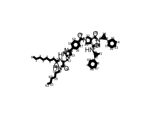 CCCCCCCC(=O)N[C@@H](Cn1cc(-c2ccc(C(=O)N3C[C@@H](C(=O)N[C@H]4C[C@@H]4c4ccccc4)[C@H](C(=O)N[C@H]4C[C@@H]4c4ccccc4)C3)cc2)nn1)C(=O)NCCCCCC